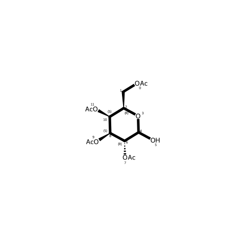 CC(=O)OC[C@H]1OC(O)[C@H](OC(C)=O)[C@@H](OC(C)=O)[C@H]1OC(C)=O